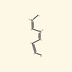 C\C=C/C=N\C=N/C